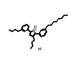 CCCCCCCCc1cccc(C2=C(CCCC)C=C(c3cccc(CCCC)c3)[N+]2=[N-])c1.[Ni]